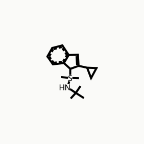 CC(C)(C)NS(C)(C)C1C(C2CC2)=Cc2ccccc21